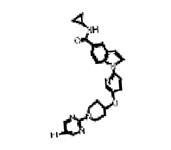 CCc1cnc(N2CCC(Oc3ccc(-n4ccc5cc(C(=O)NC6CC6)ccc54)nc3)CC2)nc1